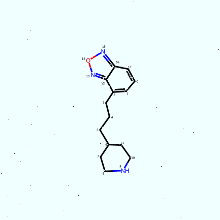 c1cc(CCCC2CCNCC2)c2nonc2c1